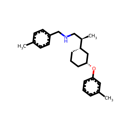 Cc1ccc(CNC[C@@H](C)[C@H]2CCC[C@@H](Oc3cccc(C)c3)C2)cc1